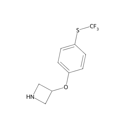 FC(F)(F)Sc1ccc(OC2CNC2)cc1